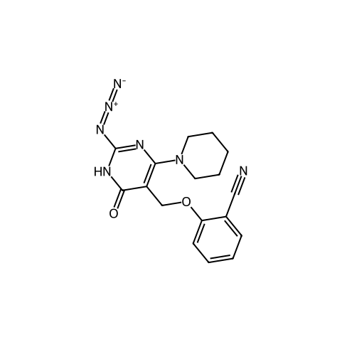 N#Cc1ccccc1OCc1c(N2CCCCC2)nc(N=[N+]=[N-])[nH]c1=O